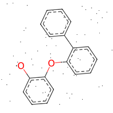 [O]c1ccccc1Oc1ccccc1-c1ccccc1